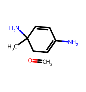 C=O.CC1(N)C=CC(N)=CC1